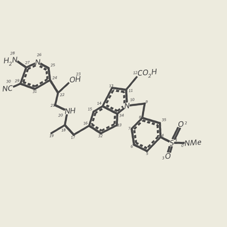 CNS(=O)(=O)c1cccc(Cn2c(C(=O)O)cc3cc(CC(C)NCC(O)c4cnc(N)c(C#N)c4)ccc32)c1